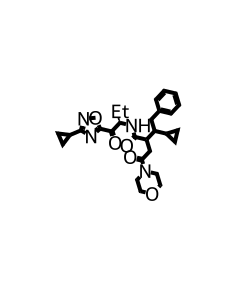 CC[C@H](NC(=O)C(CC(=O)N1CCOCC1)C(Cc1ccccc1)C1CC1)C(=O)c1nc(C2CC2)no1